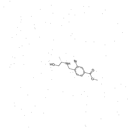 COC(=O)c1ccc(CN[C@@H](C)CO)c(Br)c1